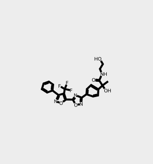 CC(O)(C(=O)NCCO)c1ccc(-c2noc(-c3onc(-c4ccccc4)c3C(F)(F)F)n2)cc1